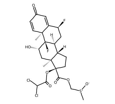 C[S+]([O-])COC(=O)[C@@]1(OC(=O)C(Cl)Cl)CC[C@H]2[C@@H]3C[C@H](F)C4=CC(=O)C=C[C@]4(C)[C@@]3(F)[C@@H](O)C[C@@]21C